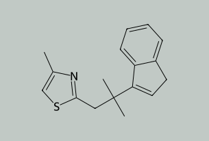 Cc1csc(CC(C)(C)C2=CCc3ccccc32)n1